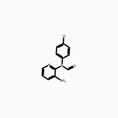 Nc1cccnc1N(C=O)c1ccc(Cl)cc1